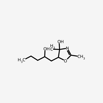 CCCC(O)CC1OC(C)=NC1(C)O